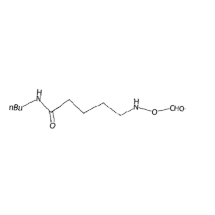 CCCCNC(=O)CCCCNO[C]=O